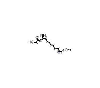 CCCCCCCC/C=C\CCCCCCCC(N)OC(=O)CO